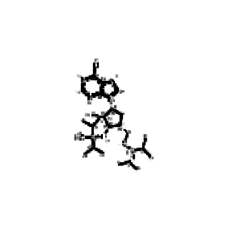 CC(C)[SiH](OC[C@H]1C[C@@H](n2cnc3c(Cl)ncnc32)[C@H](F)[C@@H]1O[Si](O)(C(C)C)C(C)C)C(C)C